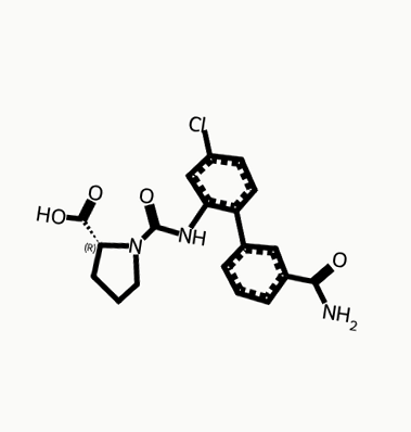 NC(=O)c1cccc(-c2ccc(Cl)cc2NC(=O)N2CCC[C@@H]2C(=O)O)c1